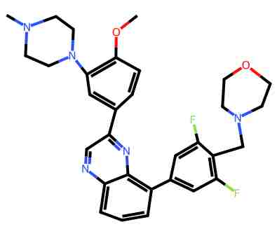 COc1ccc(-c2cnc3cccc(-c4cc(F)c(CN5CCOCC5)c(F)c4)c3n2)cc1N1CCN(C)CC1